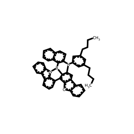 CCCCc1cc(CCCC)cc(N2c3cc4c(oc5ccccc54)c4c3B(c3c2ccc2ccccc32)n2c3ccccc3c3cccc-4c32)c1